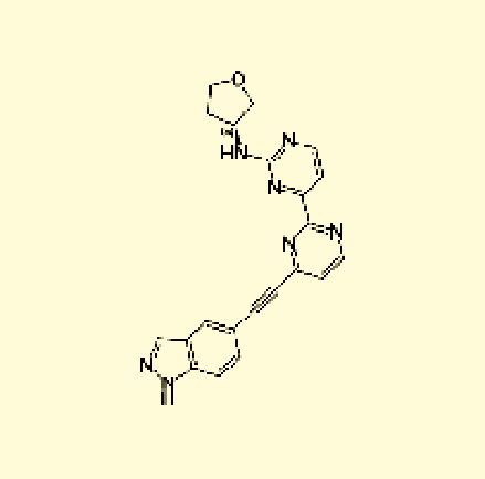 C(#Cc1ccnc(-c2ccnc(N[C@H]3CCOC3)n2)n1)c1ccc2[nH]ncc2c1